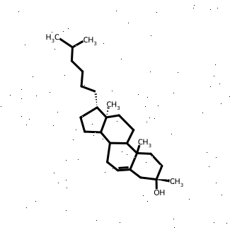 CC(C)CCCC[C@H]1CCC2C3CC=C4C[C@@](C)(O)CCC4(C)C3CC[C@@]21C